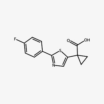 O=C(O)C1(c2cnc(-c3ccc(F)cc3)s2)CC1